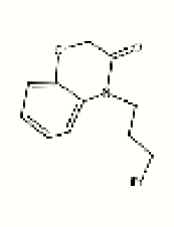 CC(C)CCCN1C(=O)COc2ccccc21